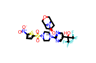 O=C1CC2COCC(C1)N2C[C@H]1CN(S(=O)(=O)c2ccc([N+](=O)[O-])s2)CCN1c1ncc(C(O)(C(F)(F)F)C(F)(F)F)cn1